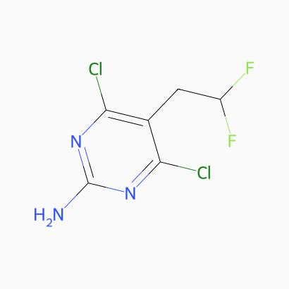 Nc1nc(Cl)c(CC(F)F)c(Cl)n1